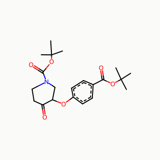 CC(C)(C)OC(=O)c1ccc(OC2CN(C(=O)OC(C)(C)C)CCC2=O)cc1